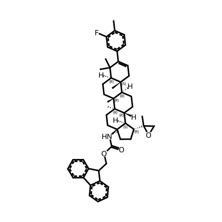 Cc1ccc(C2=CC[C@]3(C)[C@H]4CC[C@@H]5[C@H]6[C@H](C7(C)CO7)CC[C@]6(NC(=O)OCC6c7ccccc7-c7ccccc76)CC[C@@]5(C)[C@]4(C)CC[C@H]3C2(C)C)cc1F